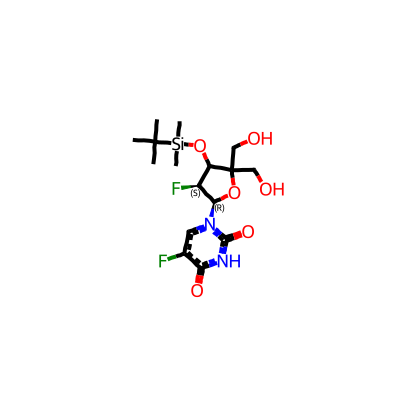 CC(C)(C)[Si](C)(C)OC1[C@H](F)[C@H](n2cc(F)c(=O)[nH]c2=O)OC1(CO)CO